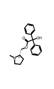 CN1CCC[C@H]1COC(=O)C(O)(c1ccccc1)c1ccccc1